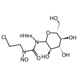 CCCCCCN(C(=O)N(CCCl)N=O)C1O[C@H](CO)[C@@H](O)[C@H](O)[C@H]1O